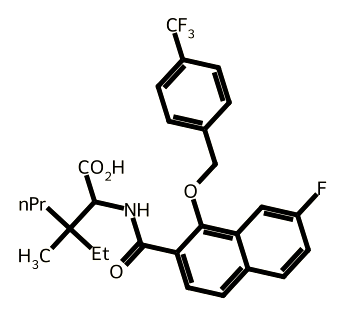 CCCC(C)(CC)C(NC(=O)c1ccc2ccc(F)cc2c1OCc1ccc(C(F)(F)F)cc1)C(=O)O